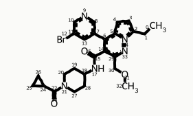 CCc1ccc2c(-c3cncc(Br)c3)c(C(=O)NC3CCN(C(=O)C4CC4)CC3)c(COC)nn12